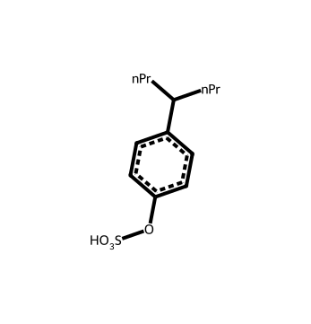 CCCC(CCC)c1ccc(OS(=O)(=O)O)cc1